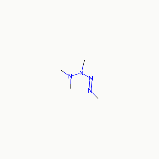 CN=NN(C)N(C)C